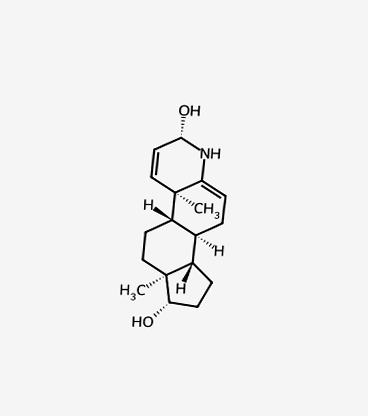 C[C@]12CC[C@H]3[C@@H](CC=C4N[C@@H](O)C=C[C@@]43C)[C@@H]1CC[C@@H]2O